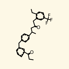 CCC(=O)c1cccc(Cc2ccc(C(C)CC(=O)Cc3cc(C(F)(F)F)ccc3CC)cc2)c1